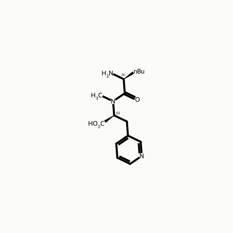 CCCC[C@H](N)C(=O)N(C)[C@@H](Cc1cccnc1)C(=O)O